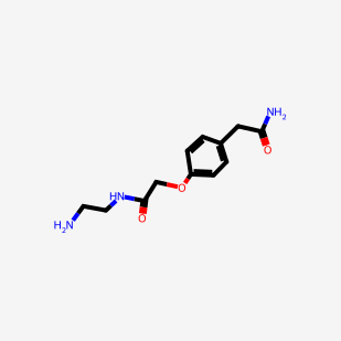 NCCNC(=O)COc1ccc(CC(N)=O)cc1